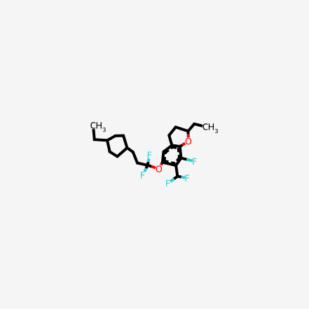 CCC1CCC(CCC(F)(F)Oc2cc3c(c(F)c2C(F)F)OC(CC)CC3)CC1